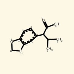 CC(C)C(C(=O)O)c1ccc2c(c1)OCO2